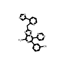 N#Cc1cccc(-c2nc(N)c3nc(Cc4ncccc4-c4cnco4)nn3c2-c2ccncn2)c1